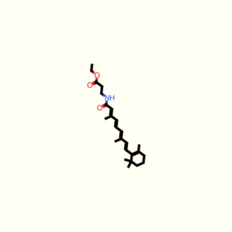 CCOC(=O)CCNC(=O)/C=C(C)/C=C/C=C(C)/C=C/C1=C(C)CCCC1(C)C